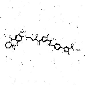 COC(=O)c1cc(-c2ccc(NC(=O)c3cc(NC(=O)CCCOc4cc5c(cc4OC)C(=O)N4CCCC[C@H]4C=N5)cn3C)cc2)cn1C